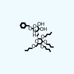 CCCCOCC1O[C@H](CC[C@H](NC(=O)OCc2ccccc2)[C@H](O)CO)C(OCCCC)[C@@H](OCCCC)[C@H]1OCCCC